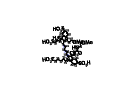 COCCNC(=O)CCC1(C)\C(=C/C=C/C=C/C2=[N+](CCOC)c3ccc(S(=O)(=O)O)cc3C2(C)CCCS(=O)(=O)O)N(CCCCCC(=O)O)c2ccc(S(=O)(=O)O)cc21